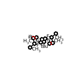 Cc1ccccc1-c1cc(F)c(N(c2cccc(C(C)C)c2)c2ccc3ccc4c(N(c5cccc(C(C)(C)C)c5)c5c(F)cc(-c6ccccc6C)cc5-c5ccccc5C)ccc5ccc2c3c54)c(-c2ccccc2C)c1